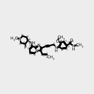 C/C=C/c1c(C#CCNc2ccc(C(=O)NC)cc2OC)nc2c(N[C@@H]3CCN(C)C[C@@H]3F)cccn12